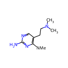 CNc1nc(N)ncc1CCN(C)C